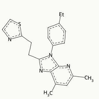 [CH2]Cc1ccc(-n2c(CCc3nccs3)nc3c(C)cc(C)nc32)cc1